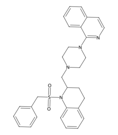 O=S(=O)(Cc1ccccc1)N1c2ccccc2CCC1CN1CCN(c2nccc3ccccc23)CC1